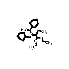 CCOC(OCC)C(CC)N(Cc1ccccc1)C(C)c1ccccc1